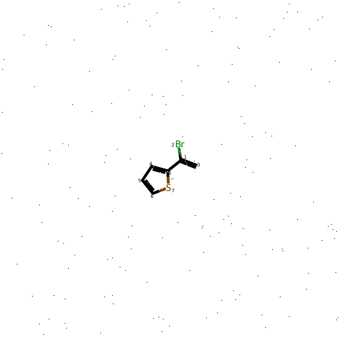 C=C(Br)c1cccs1